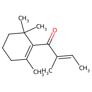 C/C=C(\C)C(=O)C1=C(C)CCCC1(C)C